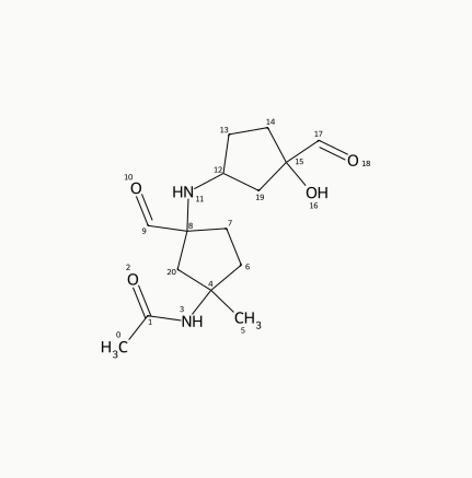 CC(=O)NC1(C)CCC(C=O)(NC2CCC(O)(C=O)C2)C1